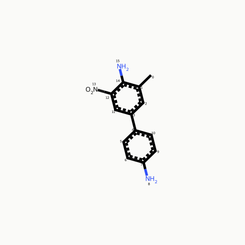 Cc1cc(-c2ccc(N)cc2)cc([N+](=O)[O-])c1N